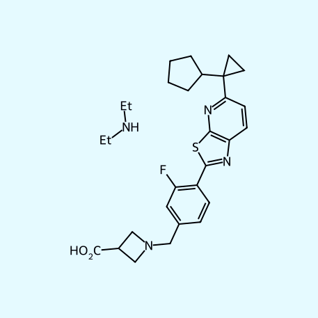 CCNCC.O=C(O)C1CN(Cc2ccc(-c3nc4ccc(C5(C6CCCC6)CC5)nc4s3)c(F)c2)C1